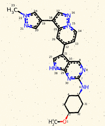 CO[C@H]1CC[C@@H](Nc2ncc3c(-c4ccn5ncc(-c6cnn(C)c6)c5c4)c[nH]c3n2)CC1